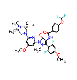 COc1cc(N2C[C@@H](C)N(C)[C@@H](C)C2)nc(-n2c(=O)c(NC(=O)c3ccc(OC(F)F)cc3)c(-c3c(F)cc(OC)cc3F)n2C)c1